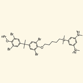 CCCOc1c(Br)cc(C(C)(C)c2cc(Br)c(OCCCCC[Si](C)(C)c3cc([SiH](C)C)cc([SiH](C)C)c3)c(Br)c2)cc1Br